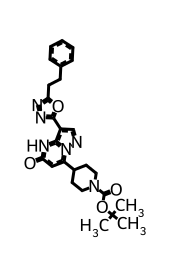 CC(C)(C)OC(=O)N1CCC(c2cc(=O)[nH]c3c(-c4nnc(CCc5ccccc5)o4)cnn23)CC1